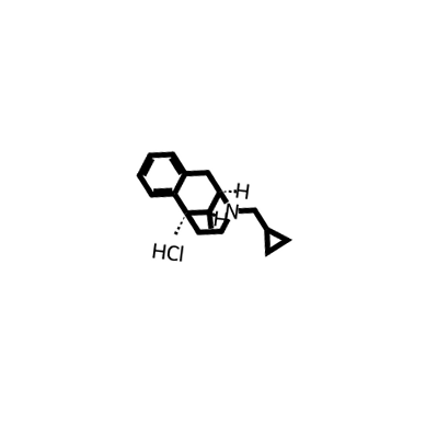 C[C@@H]1[C@H]2Cc3ccccc3[C@]1(C)CCN2CC1CC1.Cl